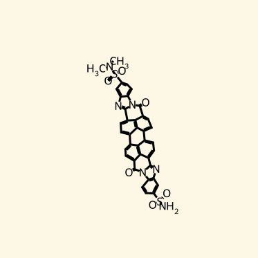 CN(C)S(=O)(=O)c1ccc2c(c1)nc1c3ccc4c5ccc6c(=O)n7c8ccc(S(N)(=O)=O)cc8nc7c7ccc(c8ccc(c(=O)n21)c3c84)c5c67